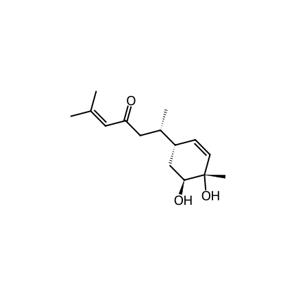 CC(C)=CC(=O)C[C@H](C)[C@@H]1C=C[C@](C)(O)[C@@H](O)C1